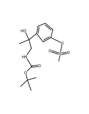 CC(C)(C)OC(=O)NCC(C)(O)c1cccc(OS(C)(=O)=O)c1